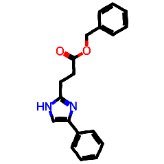 O=C(CCc1nc(-c2ccccc2)c[nH]1)OCc1ccccc1